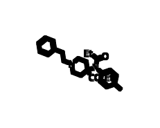 CCOC(=O)C1(N(C(=O)CC)c2ccc(C)cc2)CCN(CCc2ccccc2)CC1